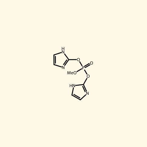 COP(=O)(Oc1ncc[nH]1)Oc1ncc[nH]1